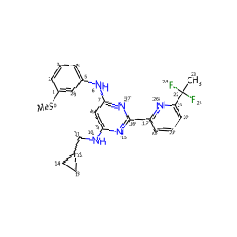 CSc1cccc(Nc2cc(NCC3CC3)nc(-c3cccc(C(C)(F)F)n3)n2)c1